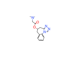 CN(C)CC(=O)OC1Cc2ccccc2-n2cnnc2C1